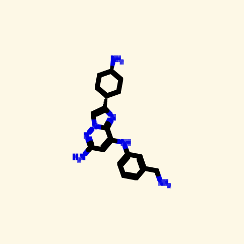 NCc1cccc(Nc2cc(N)nn3cc([C@H]4CC[C@H](N)CC4)nc23)c1